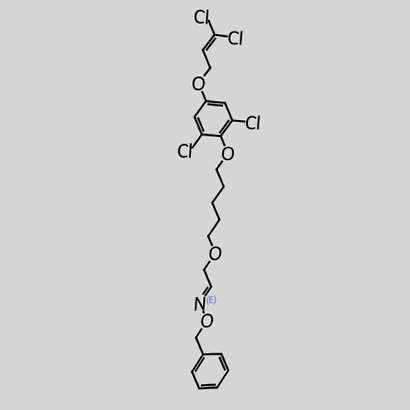 ClC(Cl)=CCOc1cc(Cl)c(OCCCCCOC/C=N/OCc2ccccc2)c(Cl)c1